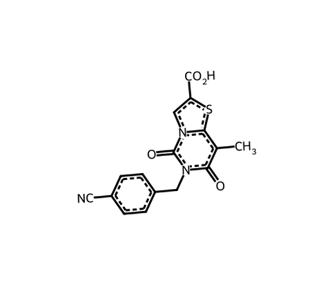 Cc1c(=O)n(Cc2ccc(C#N)cc2)c(=O)n2cc(C(=O)O)sc12